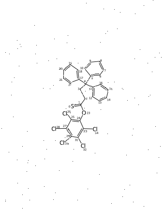 S=C(CCC(c1ccccc1)(c1ccccc1)c1ccccc1)Oc1c(Cl)c(Cl)c(Cl)c(Cl)c1Cl